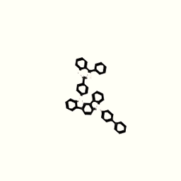 c1ccc(-c2ccc(-n3c4ccccc4c4c3ccc3c5ccccc5n(-c5ccc(-c6nc(-c7ccccc7)c7ccccc7n6)cc5)c34)cc2)cc1